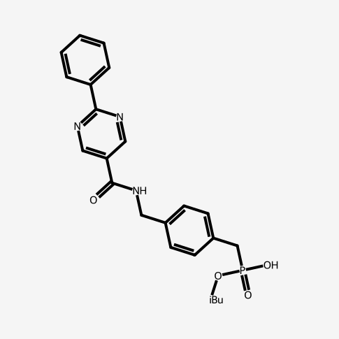 CCC(C)OP(=O)(O)Cc1ccc(CNC(=O)c2cnc(-c3ccccc3)nc2)cc1